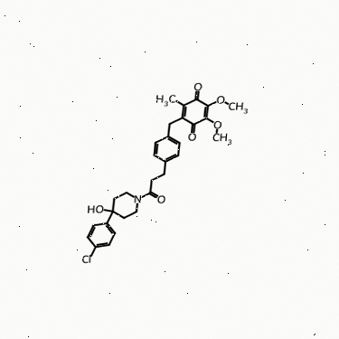 COC1=C(OC)C(=O)C(Cc2ccc(CCC(=O)N3CCC(O)(c4ccc(Cl)cc4)CC3)cc2)=C(C)C1=O